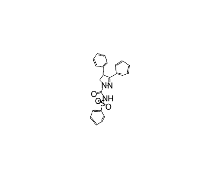 O=C(NS(=O)(=O)c1ccccc1)N1CC(c2ccccc2)C(c2ccccc2)=N1